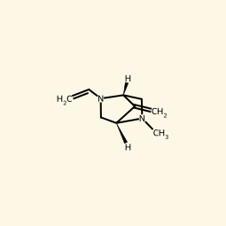 C=CN1C[C@@H]2C(=C)[C@H]1CN2C